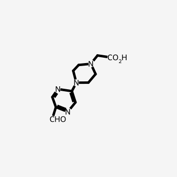 O=Cc1cnc(N2CCN(CC(=O)O)CC2)cn1